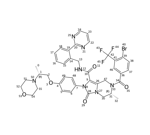 C[C@H](COc1ccc(-n2c(C(=O)NCc3ccccc3-c3ncccn3)c3n(c2=O)C[C@@H](C)N(C(=O)c2ccc(Br)c(C(F)(F)F)c2)C3)cc1)N1CCOCC1